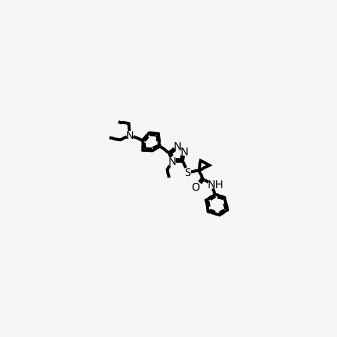 CCN(CC)c1ccc(-c2nnc(SC3(C(=O)Nc4ccccc4)CC3)n2CC)cc1